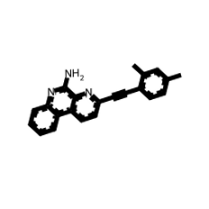 Cc1ccc(C#Cc2ccc3c(n2)c(N)nc2ccccc23)c(C)c1